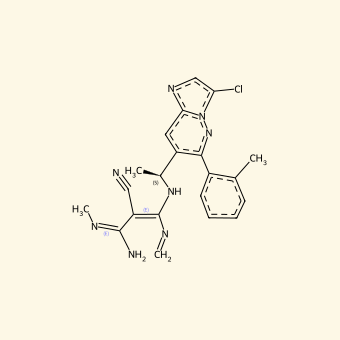 C=N/C(N[C@@H](C)c1cc2ncc(Cl)n2nc1-c1ccccc1C)=C(C#N)\C(N)=N/C